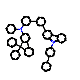 c1ccc(-c2ccc(-n3c4ccccc4c4cc(-c5cccc(-c6cccc(N(c7ccccc7)c7ccc8c(c7)C(c7ccccc7)(c7ccccc7)c7ccccc7-8)c6)c5)ccc43)cc2)cc1